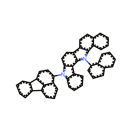 c1ccc2c(c1)-c1cccc3c(-n4c5ccccc5c5c4ccc4c6ccc7ccccc7c6n(-c6cccc7ccccc67)c45)ccc-2c13